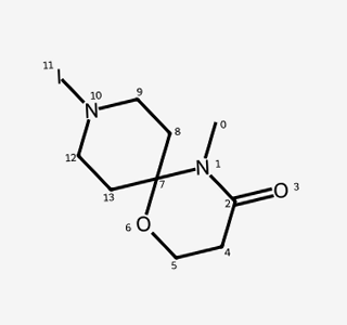 CN1C(=O)CCOC12CCN(I)CC2